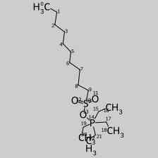 CCCCCCCCCCS(=O)(=O)OP(CC)(CC)(CC)CC